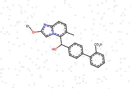 CCOc1cn2c(C(O)c3ccc(-c4ccccc4C(=O)O)cc3)c(C)ccc2n1